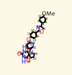 COc1ccc(C2COC(c3ccc(Oc4ccc(N5CCCC56C(=O)NC(=O)NC6=O)cn4)cc3)=N2)cc1